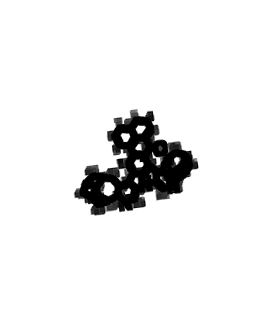 O=c1c2cccc3cccc(c4cc5c6c7c(ncc6n6c8cnc9c(c8c(c14)c56)C1CC4CC(CC9C4)C1)C1CC4CC5CC7CC45C1)c32